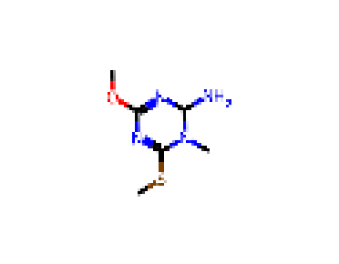 COC1=NC(N)N(C)C(SC)=N1